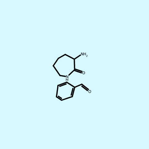 NC1CCCCNC1=O.O=Cc1ccccc1